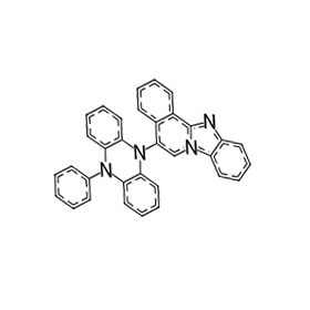 c1ccc(N2c3ccccc3N(c3cn4c5ccccc5nc4c4ccccc34)c3ccccc32)cc1